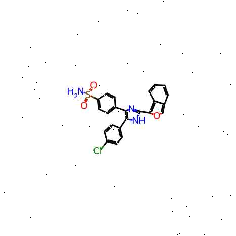 NS(=O)(=O)c1ccc(-c2nc(-c3occ4ccccc34)[nH]c2-c2ccc(Cl)cc2)cc1